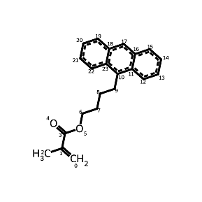 C=C(C)C(=O)OCCCCc1c2ccccc2cc2ccccc12